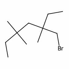 CCC(C)(C)CC(C)(CC)CBr